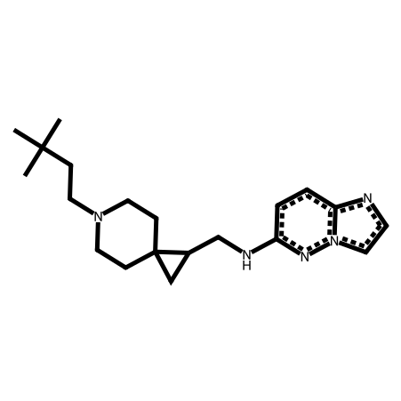 CC(C)(C)CCN1CCC2(CC1)CC2CNc1ccc2nccn2n1